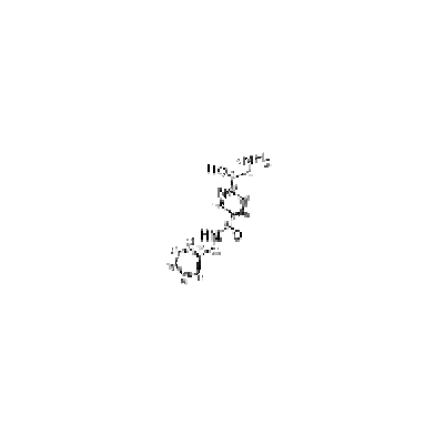 NCC(O)c1ccc(C(=O)NCc2ccccc2)cn1